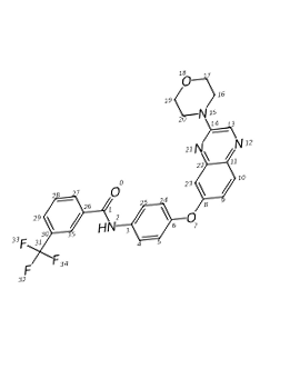 O=C(Nc1ccc(Oc2ccc3ncc(N4CCOCC4)nc3c2)cc1)c1cccc(C(F)(F)F)c1